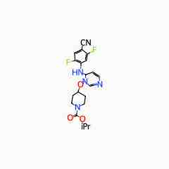 CC(C)OC(=O)N1CCC(ON2C=NC=CC2Nc2cc(F)c(C#N)cc2F)CC1